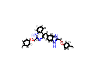 Cc1ccc(OCC2=NC=C(Cc3ccc4[nH]c(COc5ccc(C)cc5)nc4c3)c3ccccc3N2)cc1